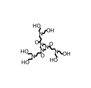 O=C(CCN(CCO)CCO)N1CN(C(=O)CCN(CCO)CCO)CN(C(=O)CCN(CCO)CCO)C1